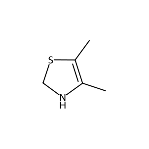 CC1=C(C)SCN1